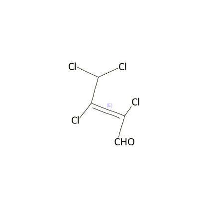 O=C/C(Cl)=C(\Cl)C(Cl)Cl